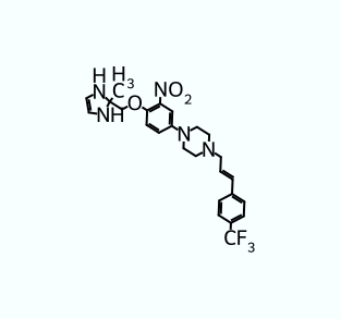 CC1(COc2ccc(N3CCN(C/C=C/c4ccc(C(F)(F)F)cc4)CC3)cc2[N+](=O)[O-])NC=CN1